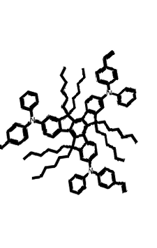 C=Cc1ccc(N(c2ccccc2)c2ccc3c(c2)C(CCCCCC)(CCCCCC)c2c-3c3c(c4c2-c2ccc(N(c5ccccc5)c5ccc(C=C)cc5)cc2C4(CCCCCC)CCCCCC)-c2ccc(N(c4ccccc4)c4ccc(C=C)cc4)cc2C3(CCCCCC)CCCCCC)cc1